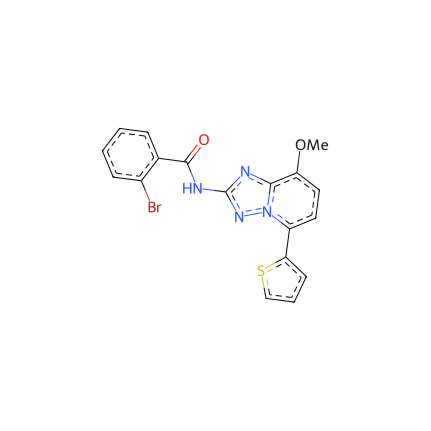 COc1ccc(-c2cccs2)n2nc(NC(=O)c3ccccc3Br)nc12